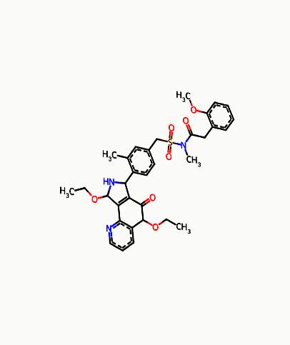 CCOC1NC(c2ccc(CS(=O)(=O)N(C)C(=O)Cc3ccccc3OC)cc2C)C2=C1c1ncccc1C(OCC)C2=O